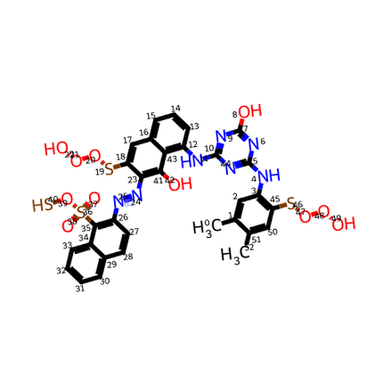 Cc1cc(Nc2nc(O)nc(Nc3cccc4cc(SOOO)c(/N=N/c5ccc6ccccc6c5S(=O)(=O)OS)c(O)c34)n2)c(SOOO)cc1C